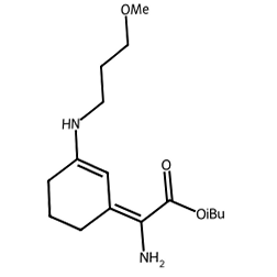 COCCCNC1=C/C(=C(/N)C(=O)OCC(C)C)CCC1